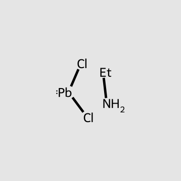 CCN.[Cl][Pb][Cl]